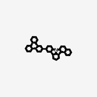 c1ccc2c(c1)ccc1c2c2cccc3c4cc(-c5ccc6c7ccccc7c7ccccc7c6c5)ccc4n1c32